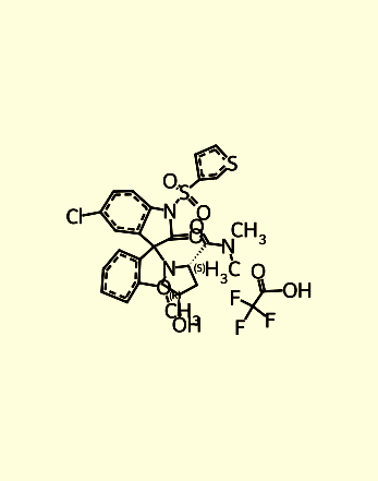 COc1ccccc1C1(N2C[C@H](O)C[C@H]2C(=O)N(C)C)C(=O)N(S(=O)(=O)c2ccsc2)c2ccc(Cl)cc21.O=C(O)C(F)(F)F